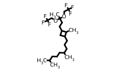 CC(C)CCCC(C)CCCC1CC(CCC(C)(OCC(F)(F)F)OCC(F)(F)F)C1C